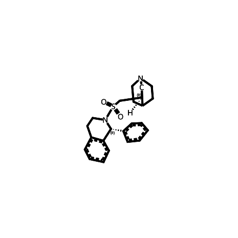 O=S(=O)(C[C@H]1CN2CCC1CC2)N1CCc2ccccc2[C@H]1c1ccccc1